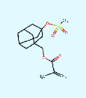 C=C(C)C(=O)OCC12CC3CC(C1)CC(OS(=O)(=O)C(F)(F)F)(C3)C2